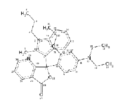 CCCn1c(C)c(C2(c3ccc(N(CC)CC)cc3OCC)OC(=O)c3cccnc32)c2ccccc21